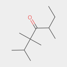 CCC(C)C(=O)C(C)(C)C(C)C